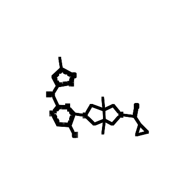 Cc1cc(Nc2ncc(Cl)c(N3CC4(C)CN(C(=O)C5CC5)CC4(C)C3)n2)no1